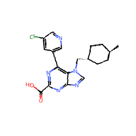 C[C@H]1CC[C@H](Cn2cnc3nc(C(=O)O)nc(-c4cncc(Cl)c4)c32)CC1